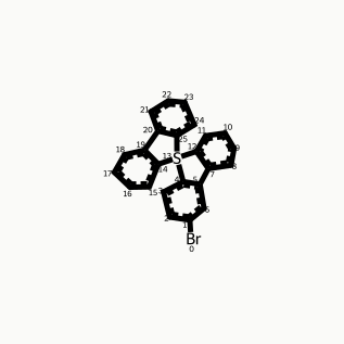 Brc1ccc2c(c1)-c1ccccc1S21c2ccccc2-c2ccccc21